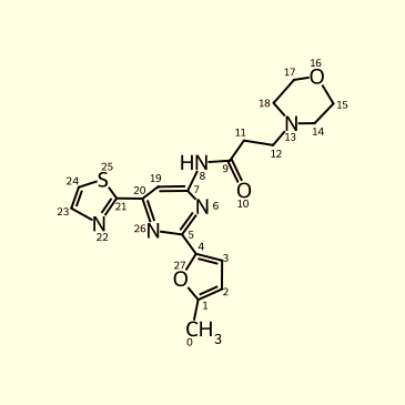 Cc1ccc(-c2nc(NC(=O)CCN3CCOCC3)cc(-c3nccs3)n2)o1